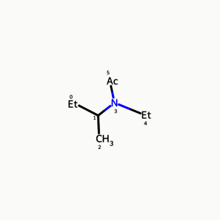 CCC(C)N(CC)C(C)=O